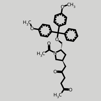 COc1ccc(C(OC[C@@H]2C[C@@H](CC(=O)CCC(C)=O)CN2C(C)=O)(c2ccccc2)c2ccc(OC)cc2)cc1